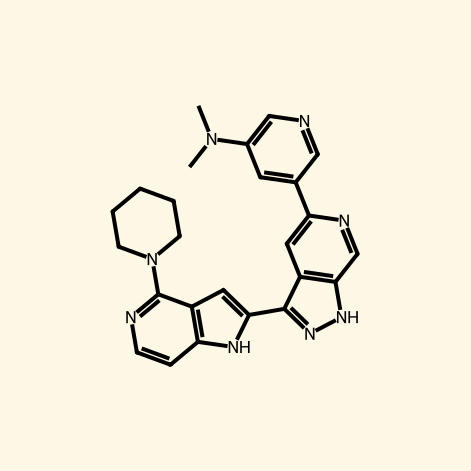 CN(C)c1cncc(-c2cc3c(-c4cc5c(N6CCCCC6)nccc5[nH]4)n[nH]c3cn2)c1